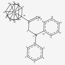 C=C(CN(c1ccccc1)c1ccccc1)[C]12[CH]3[CH]4[CH]5[CH]1[Fe]45321678[CH]2[CH]1[CH]6[CH]7[CH]28